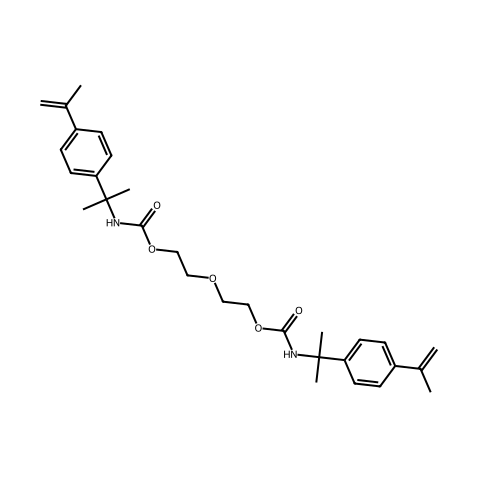 C=C(C)c1ccc(C(C)(C)NC(=O)OCCOCCOC(=O)NC(C)(C)c2ccc(C(=C)C)cc2)cc1